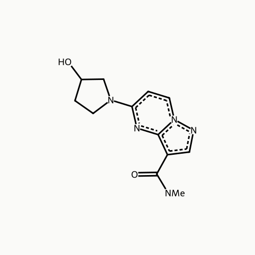 CNC(=O)c1cnn2ccc(N3CCC(O)C3)nc12